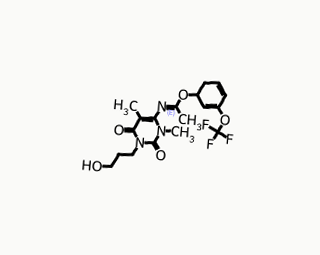 C/C(=N\c1c(C)c(=O)n(CCCO)c(=O)n1C)OC1C=C(OC(F)(F)F)C=CC1